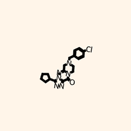 O=c1c2nnc(C3CCCC3)n2nc2n1CCN(Cc1ccc(Cl)cc1)C2